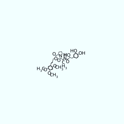 COc1cc(OC)c(OC)cc1/C=C/COC(=O)C1CCCN1C(=O)C(C)NC(=O)C(O)Cc1ccc(O)c(O)c1